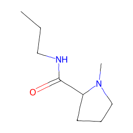 CCCNC(=O)C1CCCN1C